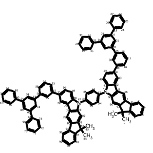 CC1(C)c2ccccc2-c2cc3c4cc(-c5cccc(-c6cc(-c7ccccc7)cc(-c7ccccc7)c6)c5)ccc4n(-c4ccc(-n5c6ccc(-c7cccc(-c8cc(-c9ccccc9)cc(-c9ccccc9)c8)c7)cc6c6cc7c(cc65)C(C)(C)c5ccccc5-7)cc4)c3cc21